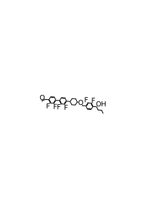 CCCC(O)c1ccc(COC2CCC(c3ccc(-c4ccc(C5CO5)c(F)c4F)c(F)c3F)CC2)c(F)c1F